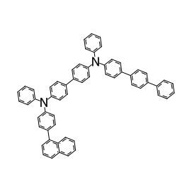 c1ccc(-c2ccc(-c3ccc(N(c4ccccc4)c4ccc(-c5ccc(N(c6ccccc6)c6ccc(-c7cccc8ccccc78)cc6)cc5)cc4)cc3)cc2)cc1